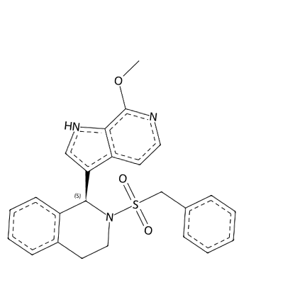 COc1nccc2c([C@@H]3c4ccccc4CCN3S(=O)(=O)Cc3ccccc3)c[nH]c12